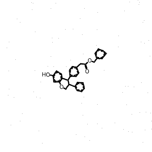 O=C(Cc1ccc(C2c3ccc(O)cc3OCC2c2ccccc2)cc1)OCc1ccccc1